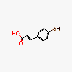 O=C(O)C=Cc1ccc(S)cc1